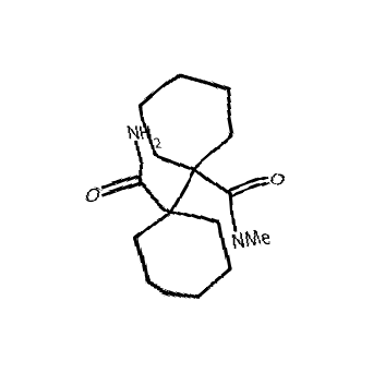 CNC(=O)C1(C2(C(N)=O)CCCCC2)CCCCC1